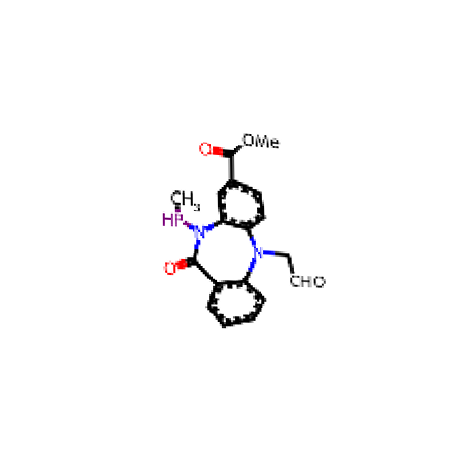 COC(=O)c1ccc2c(c1)N(PC)C(=O)c1ccccc1N2CC=O